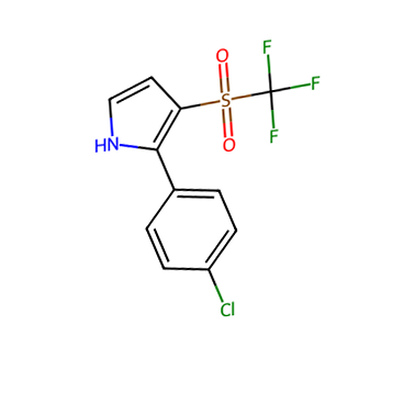 O=S(=O)(c1cc[nH]c1-c1ccc(Cl)cc1)C(F)(F)F